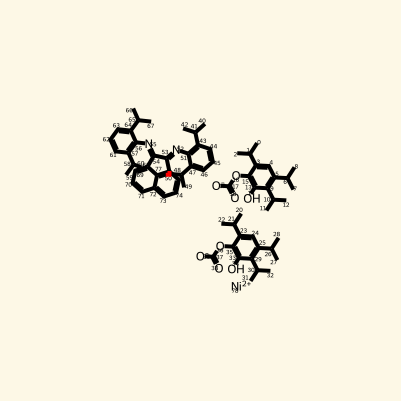 CC(C)c1cc(C(C)C)c(C(C)C)c(O)c1OC(=O)[O-].CC(C)c1cc(C(C)C)c(C(C)C)c(O)c1OC(=O)[O-].CC(C)c1cccc(C(C)C)c1N=C1C(=Nc2c(C(C)C)cccc2C(C)C)c2cccc3cccc1c23.[Ni+2]